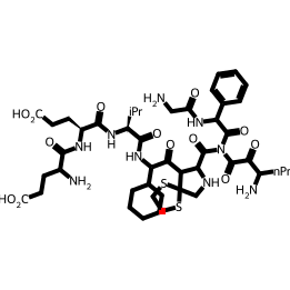 CCCC(N)C(=O)C(=O)N(C(=O)C(NC(=O)CN)c1ccccc1)C(=O)C1NCC2(SCCS2)C1C(=O)C(NC(=O)[C@@H](NC(=O)[C@H](CCC(=O)O)NC(=O)C(N)CCC(=O)O)C(C)C)C1CCCCC1